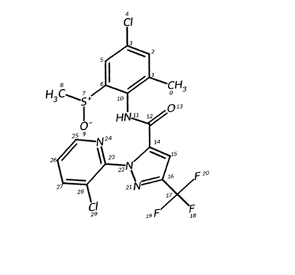 Cc1cc(Cl)cc([S+](C)[O-])c1NC(=O)c1cc(C(F)(F)F)nn1-c1ncccc1Cl